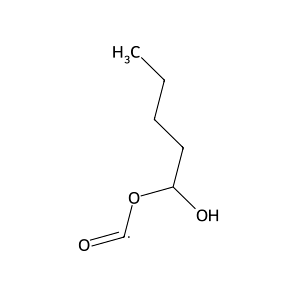 CCCCC(O)O[C]=O